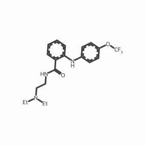 CCN(CC)CCNC(=O)c1ccccc1Nc1ccc(OC(F)(F)F)cc1